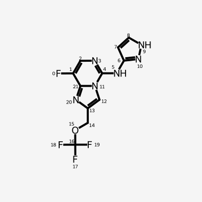 Fc1cnc(Nc2cc[nH]n2)n2cc(COC(F)(F)F)nc12